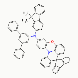 CC1(C)c2ccccc2-c2ccc(N(c3cc(-c4ccccc4)cc(-c4ccccc4)c3)c3ccc4c(c3)Oc3cccc5c3N4c3ccccc3C53C4=C(CCC=C4)c4ccccc43)cc21